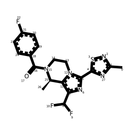 Cc1nsc(-c2nc(C(F)F)c3n2CCN(C(=O)c2ccc(F)cc2)[C@@H]3C)n1